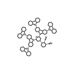 N#Cc1cccc(-c2cc(-n3c4ccc(-n5c6ccccc6c6ccccc65)cc4c4cc(-n5c6ccccc6c6ccccc65)ccc43)nc(-n3c4ccc(-n5c6ccccc6c6ccccc65)cc4c4cc(-n5c6ccccc6c6ccccc65)ccc43)c2)c1C#N